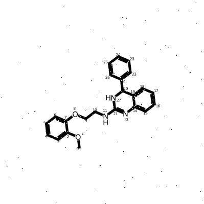 COc1ccccc1OCCNC1=Nc2ccccc2C(c2ccccc2)N1